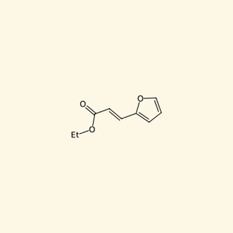 CCOC(=O)C=Cc1ccco1